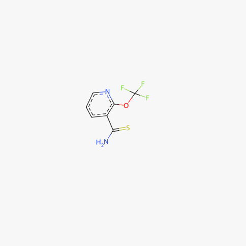 NC(=S)c1cccnc1OC(F)(F)F